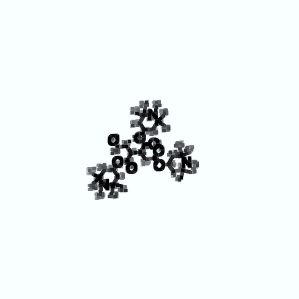 CN1C(C)(C)CC(OC(=O)CC(C(=O)OC2CC(C)(C)N(C)C(C)(C)C2)C(CC=O)C(=O)OC2CC(C)(C)N(C)C(C)(C)C2)CC1(C)C